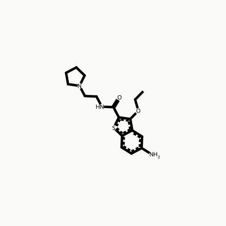 CCOc1c(C(=O)NCCN2CCCC2)sc2ccc(N)cc12